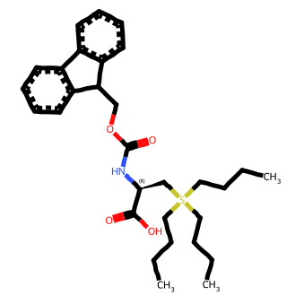 CCCCS(CCCC)(CCCC)C[C@H](NC(=O)OCC1c2ccccc2-c2ccccc21)C(=O)O